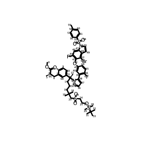 COC(=O)[C@H](C)Cc1cccc([C@@](C)(CCCC(C)(C)CS(=O)(=O)CCO[Si](C)(C)C(C)(C)C)n2nccc2-c2cc(Oc3c(F)cc4c(ccn4S(=O)(=O)c4ccc(C)cc4)c3Br)ccc2F)c1